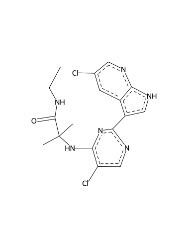 CCNC(=O)C(C)(C)Nc1nc(-c2c[nH]c3ncc(Cl)cc23)ncc1Cl